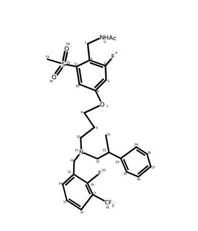 CC(=O)NCc1c(F)cc(OCCCN(Cc2cccc(C(F)(F)F)c2F)CC(C)c2ccccc2)cc1S(C)(=O)=O